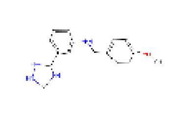 COc1ccc(CNc2cccc(C3NCNN3)c2)cc1